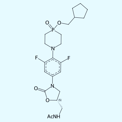 CC(=O)NC[C@H]1CN(c2cc(F)c(N3CCP(=O)(OCC4CCCC4)CC3)c(F)c2)C(=O)O1